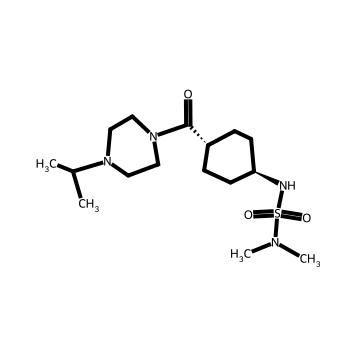 CC(C)N1CCN(C(=O)[C@H]2CC[C@H](NS(=O)(=O)N(C)C)CC2)CC1